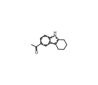 CC(=O)c1ccc2[nH]c3c(c2c1)CCCC3